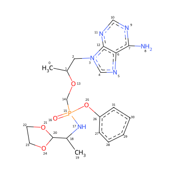 CC(Cn1cnc2c(N)ncnc21)OCP(=O)(NC(C)C1OCCO1)Oc1ccccc1